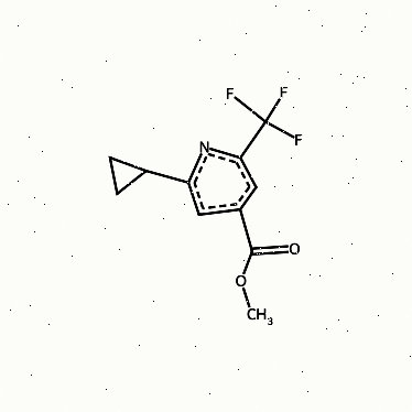 COC(=O)c1cc(C2CC2)nc(C(F)(F)F)c1